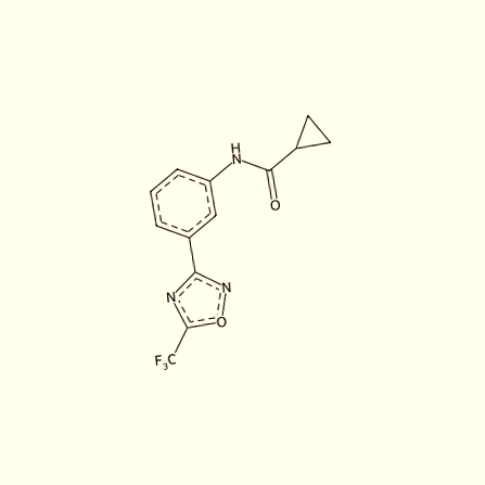 O=C(Nc1cccc(-c2noc(C(F)(F)F)n2)c1)C1CC1